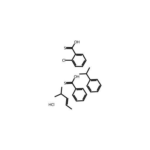 CC(C)c1ccccc1.CC=CC(C)C.Cl.OC(=S)c1ccccc1.OC(=S)c1ccccc1Cl